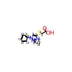 O=C(O)CSc1cn(-c2ccccc2)nn1.[Ag]